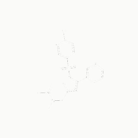 CN(Cc1cc(-c2ccccc2)n(S(=O)(=O)c2ccc(Cl)nc2)c1)C(=O)O